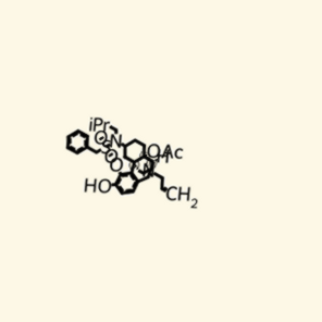 C=CCN1CC[C@]23c4c5ccc(O)c4OC2C(N(CC(C)C)S(=O)(=O)Cc2ccccc2)CC[C@@]3(OC(C)=O)[C@H]1C5